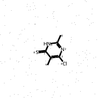 Cc1nc(Cl)c(C)c(=S)[nH]1